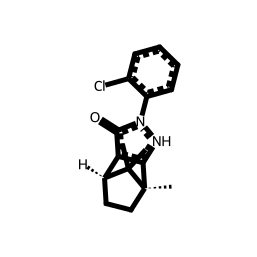 CC1(C)[C@H]2CC[C@]1(C)c1[nH]n(-c3ccccc3Cl)c(=O)c12